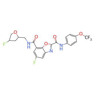 O=C(Nc1ccc(OC(F)(F)F)cc1)c1nc2cc(F)cc(C(=O)NCC3CC(F)CO3)c2o1